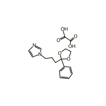 O=C(O)C(=O)O.c1ccc(C2(CCCn3ccnc3)OCCO2)cc1